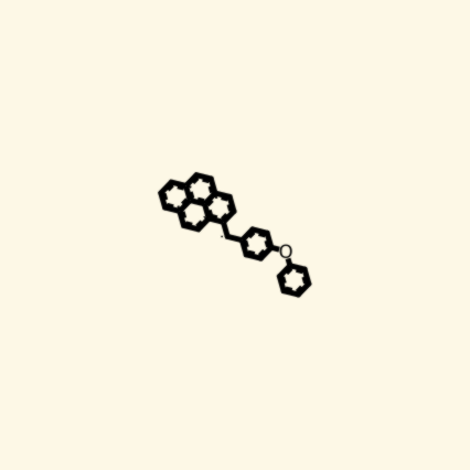 [CH](c1ccc(Oc2ccccc2)cc1)c1ccc2ccc3cccc4ccc1c2c34